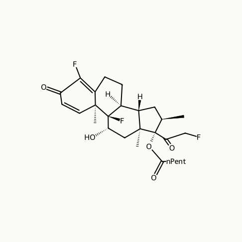 CCCCCC(=O)O[C@@]1(C(=O)CF)[C@H](C)C[C@H]2[C@@H]3CCC4=C(F)C(=O)C=C[C@]4(C)[C@@]3(F)[C@@H](O)C[C@@]21C